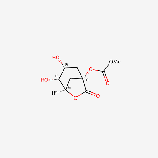 COC(=O)O[C@@]12C[C@@H](O)[C@@H](O)[C@@H](C1)OC2=O